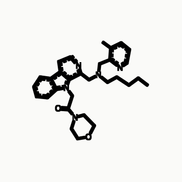 CCCCCN(Cc1ncccc1C)Cc1nccc2c3ccccc3n(CC(=O)N3CCOCC3)c12